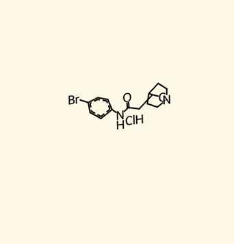 Cl.O=C(CC1CN2CCC1CC2)Nc1ccc(Br)cc1